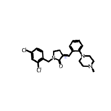 CN1CCN(c2ccccc2/C=C2\CCN(Cc3ccc(Cl)cc3Cl)C2=O)CC1